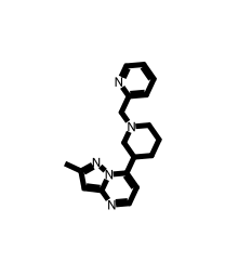 Cc1cc2nccc(C3CCCN(Cc4ccccn4)C3)n2n1